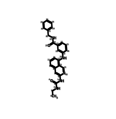 CCNC(=O)Nc1cc2cccc(Nc3cccc(C(=O)NCc4ccccc4)c3)c2cn1